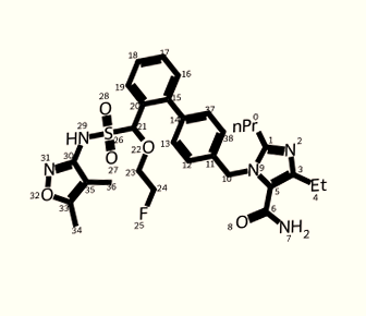 CCCc1nc(CC)c(C(N)=O)n1Cc1ccc(-c2ccccc2C(OCCF)S(=O)(=O)Nc2noc(C)c2C)cc1